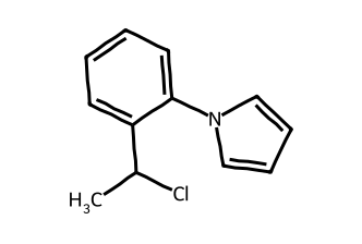 CC(Cl)c1ccccc1-n1cccc1